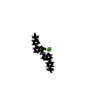 CC1=Cc2c(-c3ccc(C(C)(C)C)cc3)cccc2[CH]1[Zr+2][CH]1C=Cc2c(-c3ccc(C(C)(C)C)cc3)cccc21.[Cl-].[Cl-]